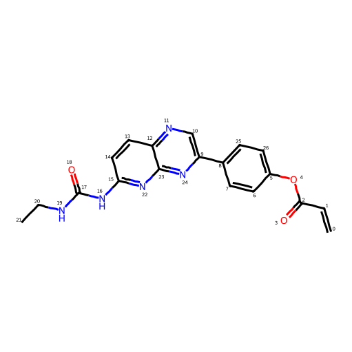 C=CC(=O)Oc1ccc(-c2cnc3ccc(NC(=O)NCC)nc3n2)cc1